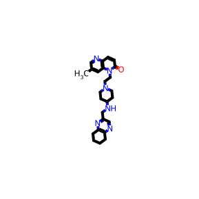 Cc1cnc2ccc(=O)n(CCN3CCC(NCc4cnc5c(n4)CCCC5)CC3)c2c1